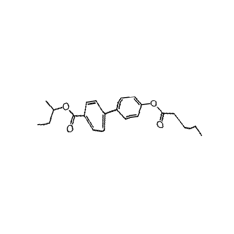 CCCCC(=O)Oc1ccc(-c2ccc(C(=O)OC(C)CC)cc2)cc1